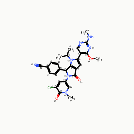 CNc1ncc(-c2cc3c(n2C(C)C)C(c2ccc(C#N)cc2)N(c2cc(Cl)c(=O)n(C)c2)C3=O)c(OC)n1